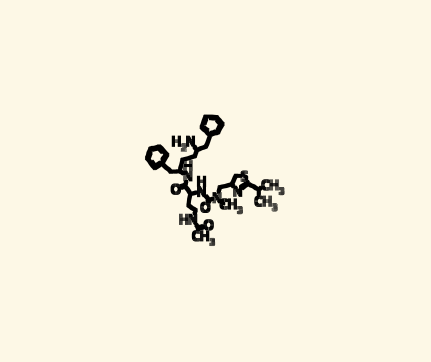 CC(=O)NCCC(NC(=O)N(C)CC1CSC(C(C)C)=N1)C(=O)NC(CCC(N)Cc1ccccc1)Cc1ccccc1